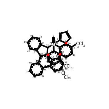 [CH2]=[Zr+2]([C]1=CC=CC1)([c]1cccc(C(Cl)(Cl)Cl)c1)([c]1cccc(C(Cl)(Cl)Cl)c1)[CH]1c2ccccc2-c2c1c1ccccc1c1ccccc21.[Cl-].[Cl-]